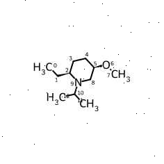 CC[C@H]1CC[C@@H](OC)CN1C(C)C